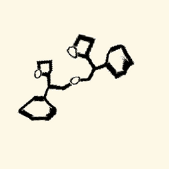 c1ccc(C(COCC(c2ccccc2)C2CCO2)C2CCO2)cc1